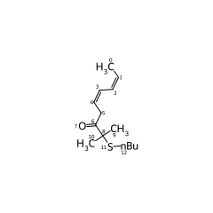 C/C=C\C=C/CC(=O)C(C)(C)SCCCC